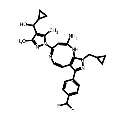 Cc1nn(-c2cc(N)[nH]c3c(ccn2)c(-c2ccc(C(F)F)cc2)nn3CC2CC2)c(C)c1C(O)C1CC1